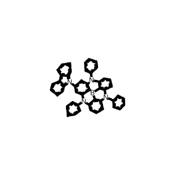 c1ccc(N2c3cccc4c3B3c5c2cccc5N(c2ccccc2)c2cc(-n5c6ccccc6c6ccccc65)cc(c23)N4c2ccccc2)cc1